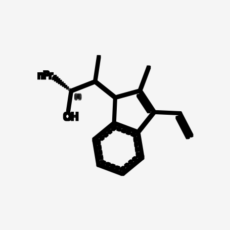 C=CC1=C(C)C(C(C)[C@H](O)CCC)c2ccccc21